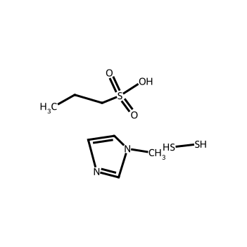 CCCS(=O)(=O)O.Cn1ccnc1.SS